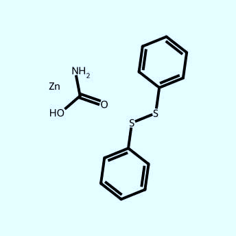 NC(=O)O.[Zn].c1ccc(SSc2ccccc2)cc1